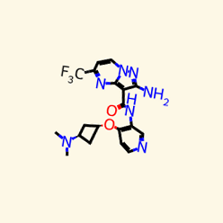 CN(C)[C@H]1C[C@H](Oc2ccncc2NC(=O)c2c(N)nn3ccc(C(F)(F)F)nc23)C1